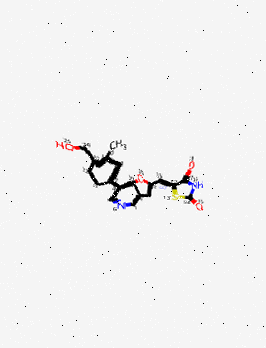 Cc1cc(-c2cncc3cc(/C=C4\SC(=O)NC4=O)oc23)ccc1CO